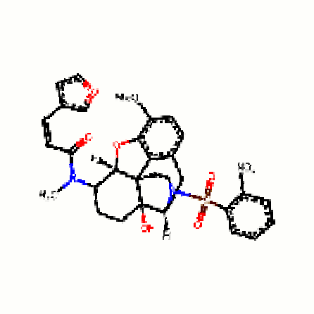 COc1ccc2c3c1O[C@H]1[C@H](N(C)C(=O)/C=C\c4ccoc4)CC[C@@]4(O)[C@@H](C2)N(S(=O)(=O)c2ccccc2[N+](=O)[O-])CC[C@]314